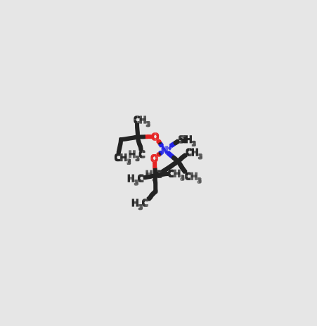 CCC(C)(C)O[N+]([SiH3])(OC(C)(C)CC)C(C)(C)C